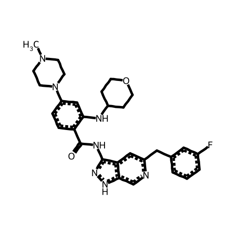 CN1CCN(c2ccc(C(=O)Nc3n[nH]c4cnc(Cc5cccc(F)c5)cc34)c(NC3CCOCC3)c2)CC1